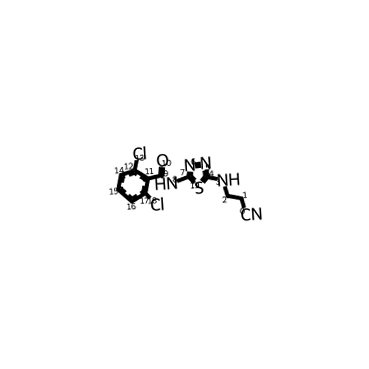 N#CCCNc1nnc(NC(=O)c2c(Cl)cccc2Cl)s1